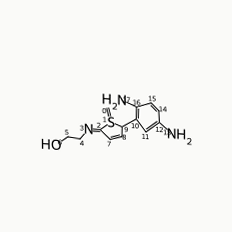 C=S1C(=NCCO)C=CC1c1cc(N)ccc1N